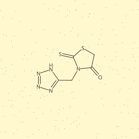 O=C1CSC(=S)N1Cc1nnn[nH]1